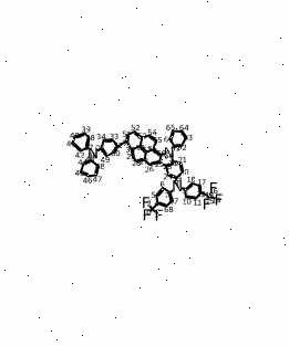 FC(F)(F)c1ccc(N(c2ccc(C(F)(F)F)cc2)c2ccc3c(c2)c2cc4ccc5c(-c6ccc(N(c7ccccc7)c7ccccc7)cc6)ccc6ccc(c4c65)c2n3-c2ccccc2)cc1